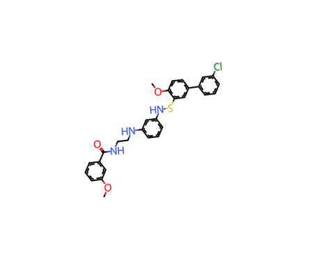 COc1cccc(C(=O)NCCNc2cccc(NSc3cc(-c4cccc(Cl)c4)ccc3OC)c2)c1